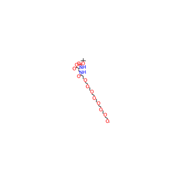 COCCOCCOCCOCCOCCOCCOCCOCCC(=O)NC[C@H](NC(=O)OC(C)(C)C)C(=O)O